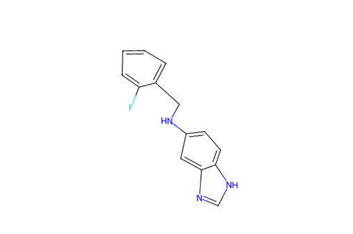 Fc1ccccc1CNc1ccc2[nH]cnc2c1